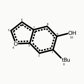 CC(C)(C)c1cc2occc2cc1O